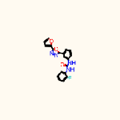 O=C(Nc1cccc(-c2nnc(-c3ccco3)o2)c1)Nc1ccccc1F